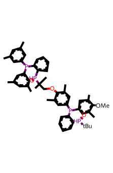 COc1c(C)cc(P(c2cc(C)c(OCC(C)(C)[PH](=O)c3ccccc3P(c3cc(C)cc(C)c3)c3cc(C)cc(C)c3)c(C)c2)c2ccccc2[PH](=O)C(C)(C)C)cc1C